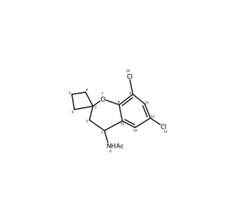 CC(=O)NC1CC2(CCC2)Oc2c(Cl)cc(Cl)cc21